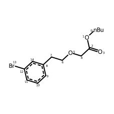 CCCCOC(=O)COCCc1cccc(Br)c1